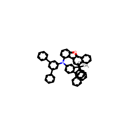 CC1(C)c2ccccc2-c2ccc(N(c3cc(-c4ccccc4)cc(-c4ccccc4)c3)c3cccc4oc5c6ccccc6c(-c6ccc7ccccc7c6)cc5c34)cc21